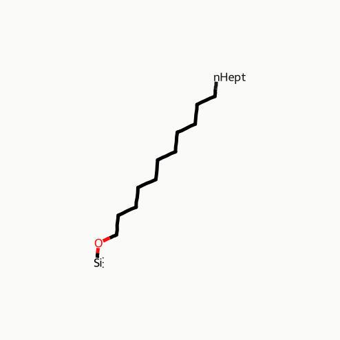 CCCCCCCCCCCCCCCCCCO[Si]